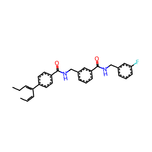 C/C=C\C(=C/CC)c1ccc(C(=O)NCc2cccc(C(=O)NCc3cccc(F)c3)c2)cc1